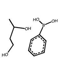 CC(O)CCO.OB(O)c1ccccc1